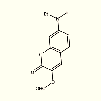 CCN(CC)c1ccc2cc(OC=O)c(=O)oc2c1